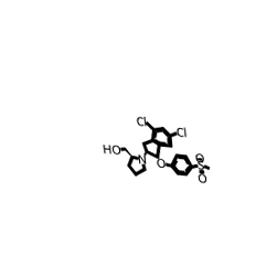 CS(=O)(=O)c1ccc(O[C@H]2c3cc(Cl)cc(Cl)c3C[C@@H]2N2CCC[C@H]2CO)cc1